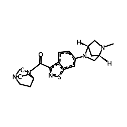 CN1C[C@@H]2C[C@H]1CN2c1ccc2c(C(=O)N3CCN4CCC3CC4)nsc2c1